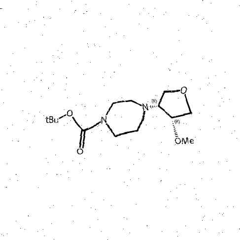 CO[C@H]1COC[C@H]1N1CCN(C(=O)OC(C)(C)C)CC1